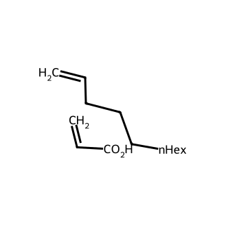 C=CC(=O)O.C=CCCCCCCCCC